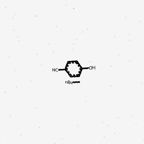 CCCCC.N#Cc1ccc(O)cc1